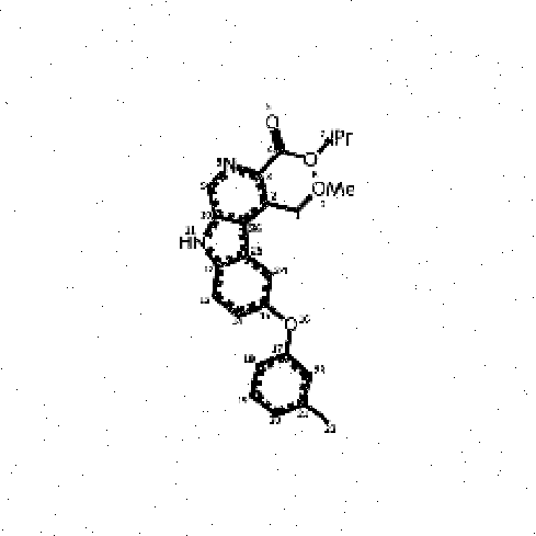 COCc1c(C(=O)OC(C)C)ncc2[nH]c3ccc(Oc4cccc(C)c4)cc3c12